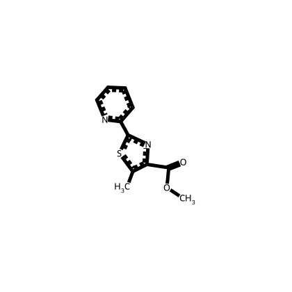 COC(=O)c1nc(-c2ccccn2)sc1C